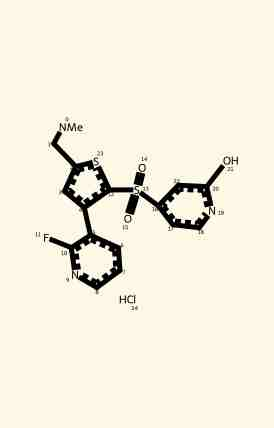 CNCc1cc(-c2cccnc2F)c(S(=O)(=O)c2ccnc(O)c2)s1.Cl